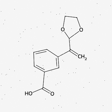 C=C(c1cccc(C(=O)O)c1)C1OCCO1